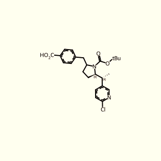 C[C@H](c1ccc(Cl)nc1)[C@H]1CCC(Cc2ccc(C(=O)O)cc2)N1C(=O)OC(C)(C)C